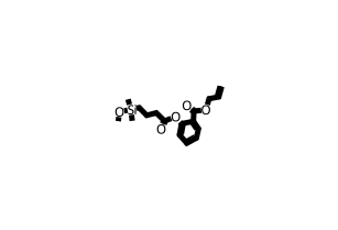 C=CCOC(=O)c1ccccc1OC(=O)CCC[Si](C)(C)OC